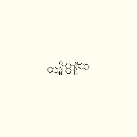 O=c1c2ccc3c4c(ccc(c24)c2nc4cc5ccccc5cc4n12)c(=O)n1c2cc4ccccc4cc2nc31